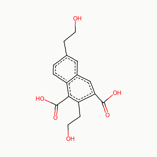 O=C(O)c1cc2cc(CCO)ccc2c(C(=O)O)c1CCO